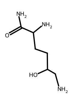 NCC(O)CCC(N)C(N)=O